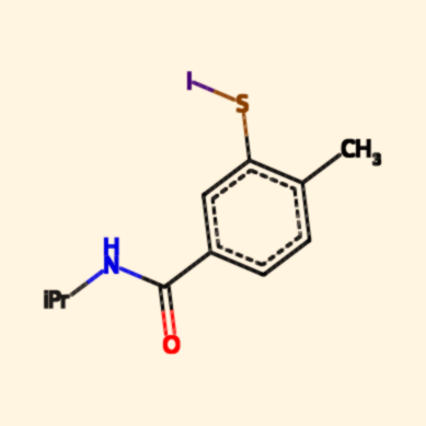 Cc1ccc(C(=O)NC(C)C)cc1SI